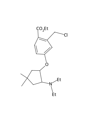 CCOC(=O)c1ccc(OC2CC(C)(C)CC2N(CC)CC)cc1CCl